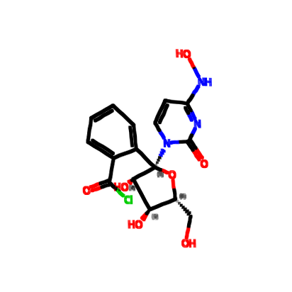 O=C(Cl)c1ccccc1[C@@]1(n2ccc(NO)nc2=O)O[C@H](CO)[C@@H](O)[C@H]1O